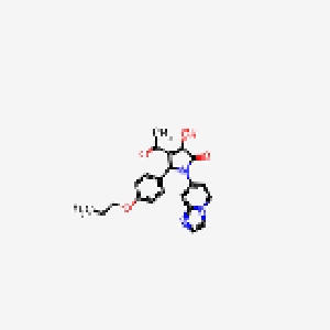 CCCOc1ccc(C2C(C(C)=O)=C(O)C(=O)N2c2ccn3ccnc3c2)cc1